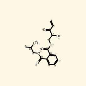 C=CC(=O)C(O)COC(=O)c1ccccc1C(=O)OCC(C)O